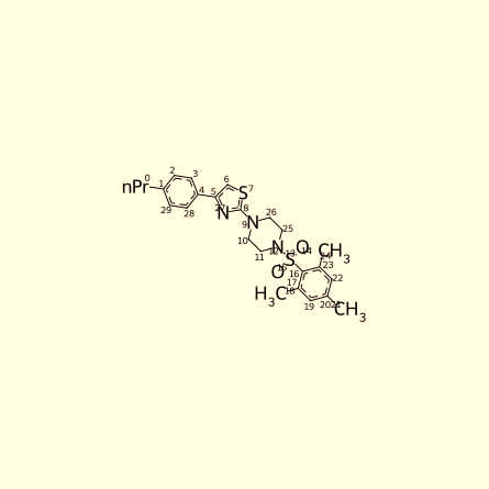 CCCc1ccc(-c2csc(N3CCN(S(=O)(=O)c4c(C)cc(C)cc4C)CC3)n2)cc1